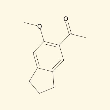 COc1cc2c(cc1C(C)=O)CCC2